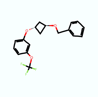 FC(F)(F)Oc1cccc(O[C@H]2C[C@H](OCc3ccccc3)C2)c1